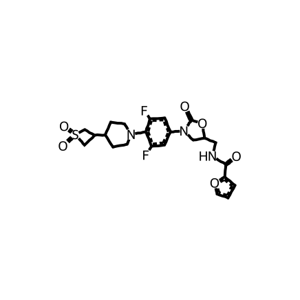 O=C(NCC1CN(c2cc(F)c(N3CCC(C4CS(=O)(=O)C4)CC3)c(F)c2)C(=O)O1)c1ccco1